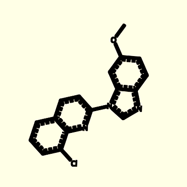 COc1ccc2ncn(-c3ccc4cccc(Cl)c4n3)c2c1